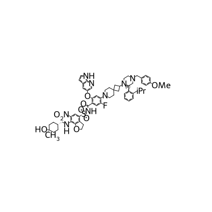 COc1ccc(CN2CCN(C3CC4(CCN(c5cc(Oc6cnc7[nH]ccc7c6)c(C(=O)NS(=O)(=O)c6cc([N+](=O)[O-])c(NC[C@H]7CC[C@](C)(O)CC7)c7c6CCO7)cc5F)CC4)C3)[C@H](c3ccccc3C(C)C)C2)cc1